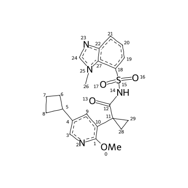 COc1ncc(C2CCC2)cc1C1(C(=O)NS(=O)(=O)c2cccc3ncn(C)c23)CC1